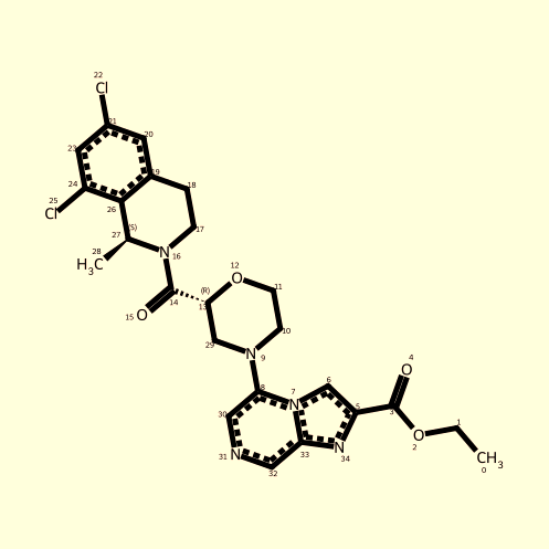 CCOC(=O)c1cn2c(N3CCO[C@@H](C(=O)N4CCc5cc(Cl)cc(Cl)c5[C@@H]4C)C3)cncc2n1